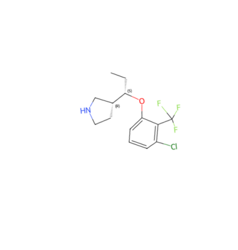 CC[C@H](Oc1cccc(Cl)c1C(F)(F)F)[C@@H]1CCNC1